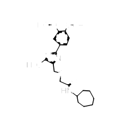 COc1ccc(-c2nc(CSCC(=O)NC3CCCCCC3)c(C)o2)cc1OC